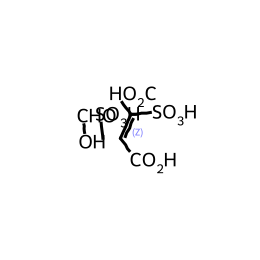 CS(=O)(=O)O.O=C(O)/C=C(/C(=O)O)S(=O)(=O)O.O=CO